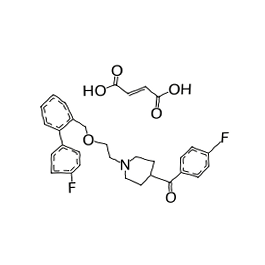 O=C(O)C=CC(=O)O.O=C(c1ccc(F)cc1)C1CCN(CCOCc2ccccc2-c2ccc(F)cc2)CC1